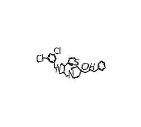 OC1(CCCc2ccccc2)CCN(CC2CN(Cc3cc(Cl)cc(Cl)c3)CC2c2ccsc2)CC1